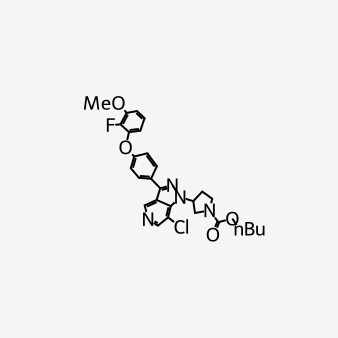 CCCCOC(=O)N1CCC(n2nc(-c3ccc(Oc4cccc(OC)c4F)cc3)c3cncc(Cl)c32)C1